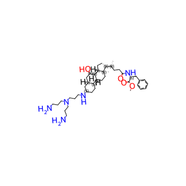 COC(=O)[C@H](Cc1ccccc1)NC(=O)CC[C@@H](C)[C@H]1CC[C@H]2[C@@H]3[C@H](O)C[C@@H]4C[C@@H](NCCCN(CCCN)CCCN)CC[C@]4(C)[C@H]3CC[C@]12C